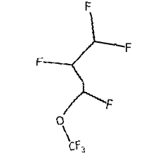 FC(F)C(F)C(F)OC(F)(F)F